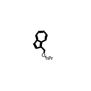 [CH2]CCOCc1ccc2cccccc1-2